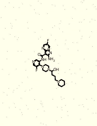 Nc1nn2cc(F)cnc2c1C(=O)Nc1cncc(F)c1N1CCN(C(O)CCCN2CCCCC2)CC1